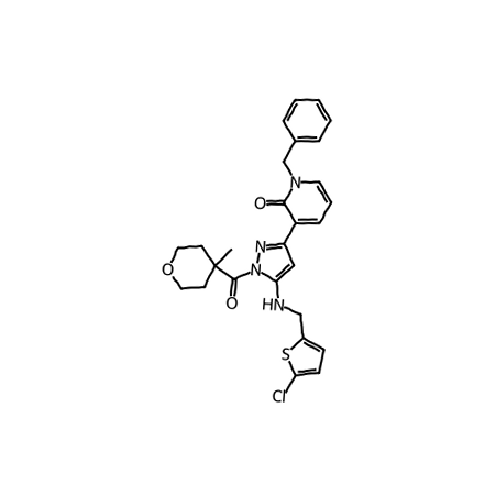 CC1(C(=O)n2nc(-c3cccn(Cc4ccccc4)c3=O)cc2NCc2ccc(Cl)s2)CCOCC1